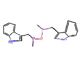 CP(Cc1c[nH]c2ccccc12)OP(C)Cc1c[nH]c2ccccc12